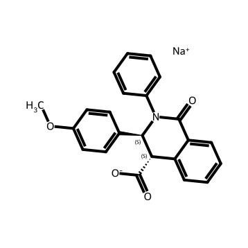 COc1ccc([C@@H]2[C@@H](C(=O)[O-])c3ccccc3C(=O)N2c2ccccc2)cc1.[Na+]